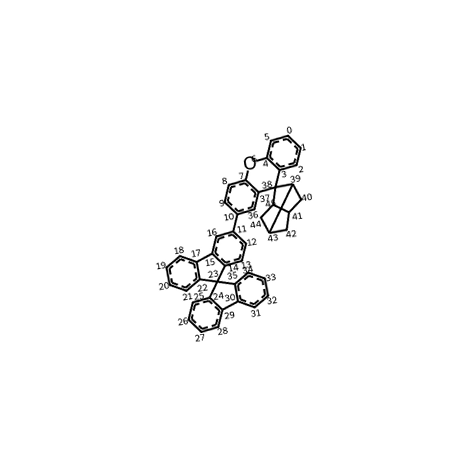 c1ccc2c(c1)Oc1ccc(-c3ccc4c(c3)-c3ccccc3C43c4ccccc4-c4ccccc43)cc1C21C2CC3CC2CC31